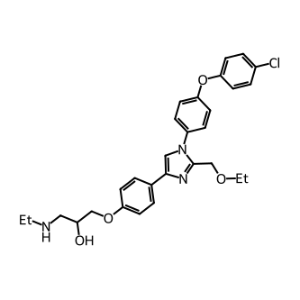 CCNCC(O)COc1ccc(-c2cn(-c3ccc(Oc4ccc(Cl)cc4)cc3)c(COCC)n2)cc1